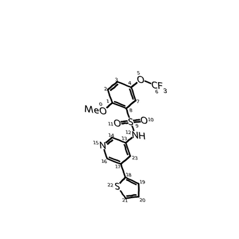 COc1ccc(OC(F)(F)F)cc1S(=O)(=O)Nc1cncc(-c2cccs2)c1